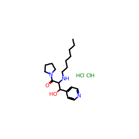 CCCCCCCNC(C(=O)N1CCCC1)C(O)c1ccncc1.Cl.Cl